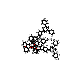 N#Cc1cccc(-c2c(-n3c4cc(-c5nc(-c6ccccc6)nc(-c6ccccc6)n5)ccc4c4ccc(-c5nc(-c6ccccc6)nc(-c6ccccc6)n5)cc43)cc(C#N)cc2-n2c3cc(-c4nc(-c5ccccc5)nc(-c5ccccc5)n4)ccc3c3ccc(-c4nc(-c5ccccc5)nc(-c5ccccc5)n4)cc32)c1